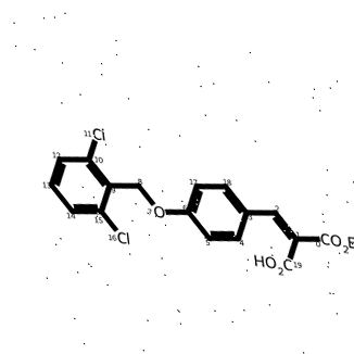 CCOC(=O)C(=Cc1ccc(OCc2c(Cl)cccc2Cl)cc1)C(=O)O